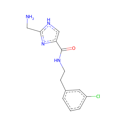 NCc1nc(C(=O)NCCc2cccc(Cl)c2)c[nH]1